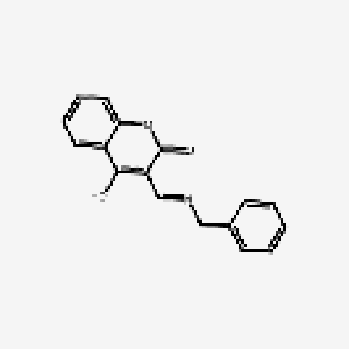 O=c1oc2ccccc2c(O)c1/C=N/Cc1ccccc1